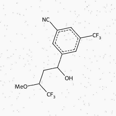 COC(CC(O)c1cc(C#N)cc(C(F)(F)F)c1)C(F)(F)F